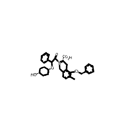 Cc1ccc2c(c1OCc1ccccc1)C[C@@H](C(=O)O)N(C(=O)C(O[C@H]1CC[C@@H](O)CC1)c1ccccc1)C2